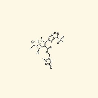 Cc1oc(=O)oc1COC(=O)C1=C(c2cn3cnc(S(C)(=O)=O)c3s2)[C@H](C)[C@@H]2[C@@H]([C@@H](C)O)C(=O)N12